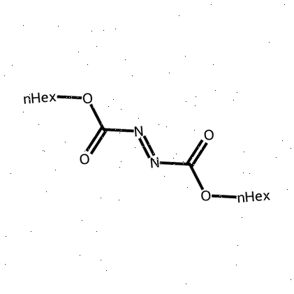 CCCCCCOC(=O)/N=N/C(=O)OCCCCCC